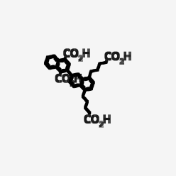 O=C(O)CCCCc1ccc(CCCCC(=O)O)c2cc(-c3cc(C(=O)O)c4ccccc4c3C(=O)O)ccc12